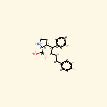 O=C(O)[C@H]1NCCC1C(CCCc1ccccc1)c1ccccc1